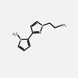 Cn1cccc1-c1c[c]n(CCN)n1